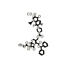 CC(C)(C)OC(=O)N[C@@H]1C(=O)N2C(C(=O)OC(c3ccccc3)c3ccccc3)=C(COC(=O)N3CCN(c4c(F)cc5c(=O)c(C(=O)O)cn(C6CC6)c5c4F)CC3)CS[C@H]12